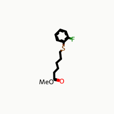 COC(=O)CCCCCSc1ccccc1F